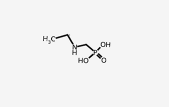 C[CH]NCP(=O)(O)O